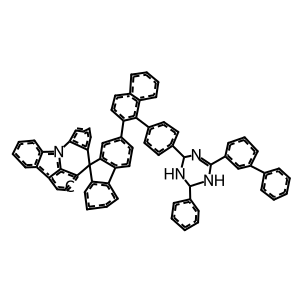 c1ccc(-c2cccc(C3=NC(c4ccc(-c5c(-c6ccc7c(c6)C6(c8ccccc8-7)c7ccccc7-n7c8ccccc8c8cccc6c87)ccc6ccccc56)cc4)NC(c4ccccc4)N3)c2)cc1